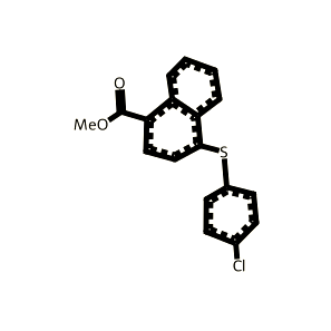 COC(=O)c1ccc(Sc2ccc(Cl)cc2)c2ccccc12